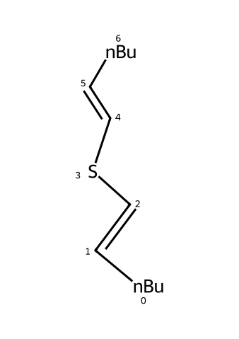 CCCCC=CSC=CCCCC